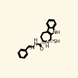 O=C(N/N=C/c1ccccc1)[C@@H]1CCc2c([nH]c3ccccc23)[C@H](S)N1